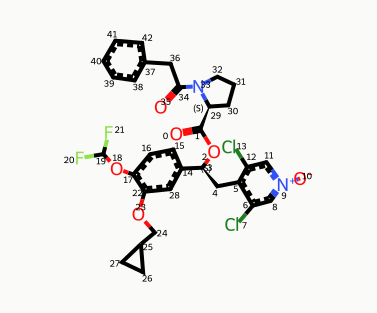 O=C(O[C@@H](Cc1c(Cl)c[n+]([O-])cc1Cl)c1ccc(OC(F)F)c(OCC2CC2)c1)[C@@H]1CCCN1C(=O)Cc1ccccc1